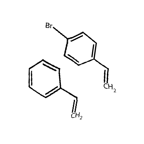 C=Cc1ccc(Br)cc1.C=Cc1ccccc1